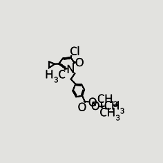 Cc1c(C2CC2)cc(Cl)c(=O)n1CCc1ccc(C(=O)OOC(C)(C)C)cc1